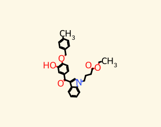 CCOC(=O)CCCn1cc(C(=O)c2ccc(OCc3ccc(C)cc3)c(O)c2)c2ccccc21